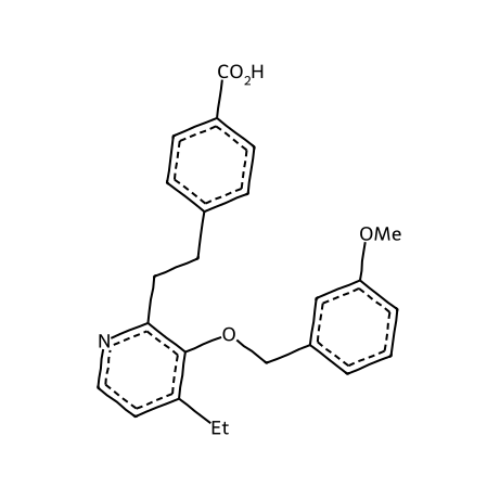 CCc1ccnc(CCc2ccc(C(=O)O)cc2)c1OCc1cccc(OC)c1